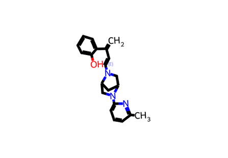 C=C(/C=C/N1CC2CC1CN2c1cccc(C)n1)c1ccccc1O